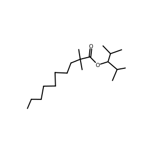 CCCCCCCCC(C)(C)C(=O)OC(C(C)C)C(C)C